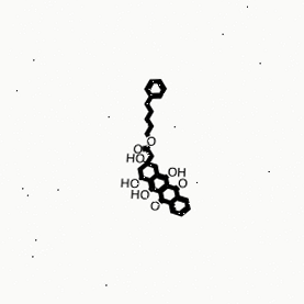 O=C(C[C@@]1(O)Cc2c(O)c3c(c(O)c2[C@@H](O)C1)C(=O)c1ccccc1C3=O)OCCCCCc1ccccc1